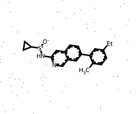 CCc1ccc(C)c(-c2ccc3cc(N[S+]([O-])C4CC4)ncc3c2)c1